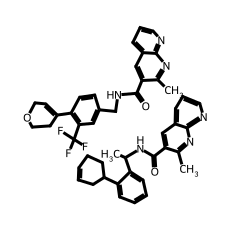 Cc1nc2ncccc2cc1C(=O)NC(C)c1ccccc1C1CC=CCC1.Cc1nc2ncccc2cc1C(=O)NCc1ccc(C2=CCOCC2)c(C(F)(F)F)c1